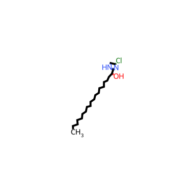 CCCCCCCCCCCCCCCCCCC(O)C1=NC(Cl)CN1